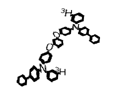 [3H]c1cccc(N(c2ccc(Oc3cccc(Oc4ccc(N(c5ccc(-c6ccccc6)cc5)c5cccc([3H])c5)cc4)c3)cc2)c2ccc(-c3ccccc3)cc2)c1